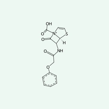 O=C(COc1ccccc1)NC1C(=O)[N+]2(C(=O)O)C=CS[C@@H]12